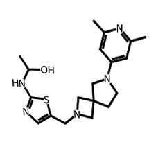 Cc1cc(N2CCC3(CN(Cc4cnc(NC(C)O)s4)C3)C2)cc(C)n1